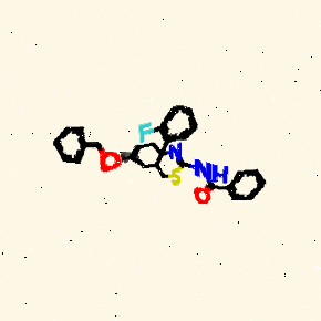 O=C(NC1=NC2(c3ccccc3F)CC[C@@H](OCc3ccccc3)CC2CS1)c1ccccc1